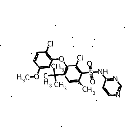 COc1ccc(Cl)c(Oc2c(C(C)(C)C)cc(C)c(S(=O)(=O)Nc3ccncn3)c2Cl)c1